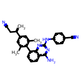 C=C(CC#N)c1cc(C)c(-c2cccc3c(N)nc(Nc4ccc(C#N)cc4)nc23)c(C)c1